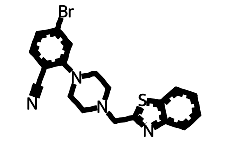 N#Cc1ccc(Br)cc1N1CCN(Cc2nc3ccccc3s2)CC1